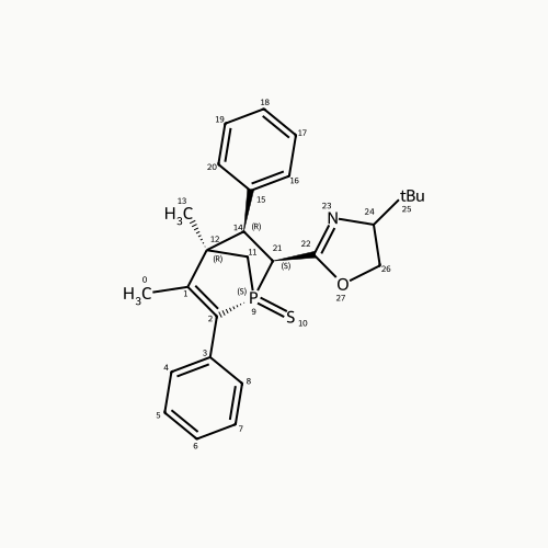 CC1=C(c2ccccc2)[P@]2(=S)C[C@]1(C)[C@@H](c1ccccc1)[C@H]2C1=NC(C(C)(C)C)CO1